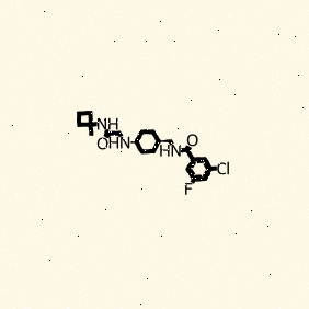 CC1(NC(=O)CN[C@H]2CC[C@H](CNC(=O)c3cc(F)cc(Cl)c3)CC2)CCC1